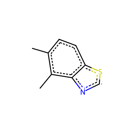 Cc1ccc2s[c]nc2c1C